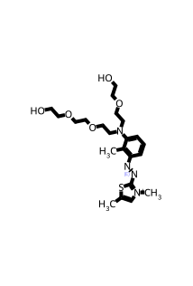 Cc1c[n+](C)c(/N=N/c2cccc(N(CCOCCO)CCOCCOCCO)c2C)s1